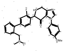 CCN(C)Cc1ccccc1-c1ccc(C2NCc3ncn(-c4ccc(OC)cc4)c3C2=O)c(F)c1